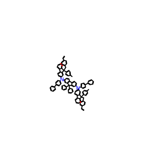 C=Cc1ccc(CC2(c3ccc(C)cc3)c3ccccc3-c3ccc(N(c4ccc(-c5ccccc5)cc4)c4ccc5c(c4)C(c4ccccc4)(c4ccccc4)c4cc(N(c6ccc(-c7ccccc7)cc6)c6ccc7c(c6)C(Cc6ccc(C=C)cc6)(c6ccc(C)cc6)c6ccccc6-7)ccc4-5)cc32)cc1